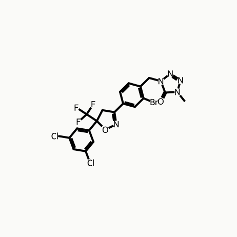 Cn1nnn(Cc2ccc(C3=NOC(c4cc(Cl)cc(Cl)c4)(C(F)(F)F)C3)cc2Br)c1=O